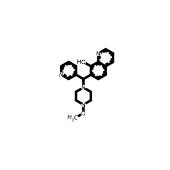 CON1CCN(C(c2cccnc2)c2ccc3cccnc3c2O)CC1